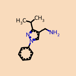 CC(C)c1nn(-c2ccccc2)cc1CN